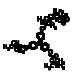 CC(C)(C)OC(=O)COc1ccc([S+](c2ccc(OCC(=O)OC(C)(C)C)cc2)c2ccc(OCC(=O)OC(C)(C)C)cc2)cc1.O=S(=O)([O-])C(F)(F)C(F)C(F)(F)F